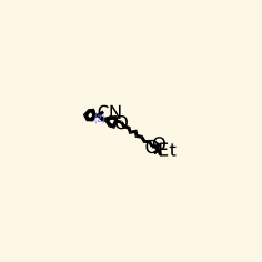 CCC(C)(C)C(=O)OCCCCCCCCOc1ccc(/C=C(\C#N)c2ccccc2)cc1